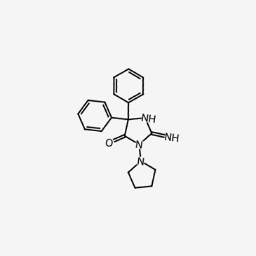 N=C1NC(c2ccccc2)(c2ccccc2)C(=O)N1N1CCCC1